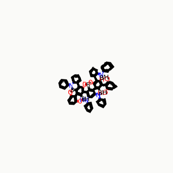 Oc1cccc(O)c1-c1c2c(c3c4c1BN(c1ccccc1)c1cc(Nc5ccccc5)c5c(c1-4)B(O3)Oc1c-5c3c4c5c1-c1ccccc1N(c1ccccc1)B5Oc1cccc(c1-4)OB3)-c1ccccc1N(c1ccccc1)B2